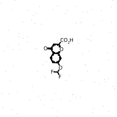 O=C(O)c1cc(=O)c2ccc(OC(F)F)cc2o1